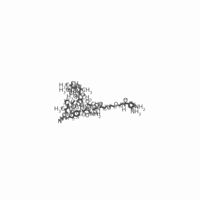 CC[C@H](C)[C@@H]([C@@H](CC(=O)N1CCC[C@H]1[C@H](OC)[C@@H](C)C(=O)N[C@H](CN=[N+]=[N-])Cc1ccc(NC(=O)[C@H](CC(N)=O)NC(=O)[C@H](C)NC(=O)[C@H](C)NC(=O)CCOCCOCCNC(=O)c2ccc(N)c(N)c2)cc1)OC)N(C)C(=O)[C@@H](NC(=O)[C@H](C(C)C)N(C)C)C(C)C